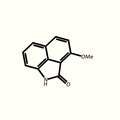 COc1ccc2cccc3c2c1C(=O)N3